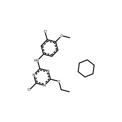 C1CCCCC1.CCOc1nc(Cl)nc(Nc2ccc(OC)c(Cl)c2)n1